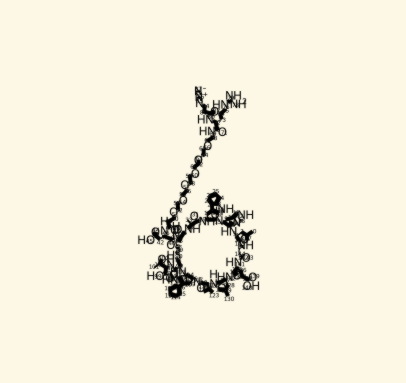 CC(C)C[C@@H]1NC(=O)[C@H](Cc2c[nH]cn2)NC(=O)[C@H](Cc2c[nH]c3ccccc23)NC(=O)[C@H](C)NC(=O)[C@@H](NC(=O)[C@H](CC(=O)O)NC(=O)CCOCCOCCOCCOCCOCCOCCNC(=O)[C@@H](CCCNC(=N)N)NC(=O)CCN=[N+]=[N-])CSSC[C@@H](C(=O)N[C@H](C(=O)O)[C@@H](C)O)NC(=O)[C@H](Cc2c[nH]c3ccccc23)NC(=O)[C@H](C(C)C)NC(=O)[C@H](CC(C)C)NC(=O)[C@H](CCC(=O)O)NC(=O)CNC1=O